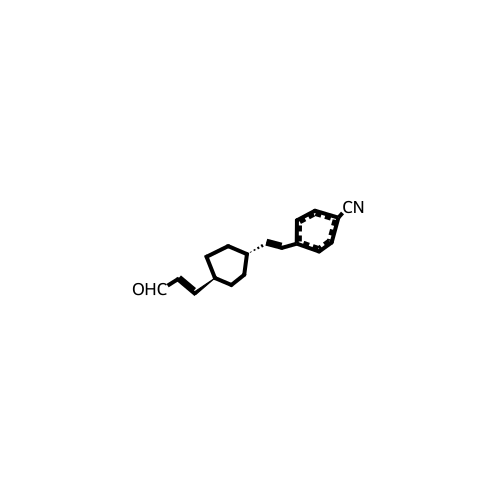 N#Cc1ccc(/C=C/[C@H]2CC[C@H](C=CC=O)CC2)cc1